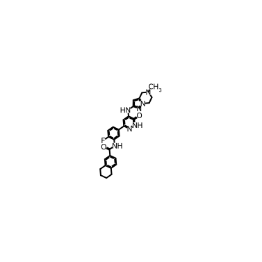 CN1CCn2nc(Nc3cc(-c4ccc(F)c(NC(=O)c5ccc6c(c5)CCCC6)c4)n[nH]c3=O)cc2C1